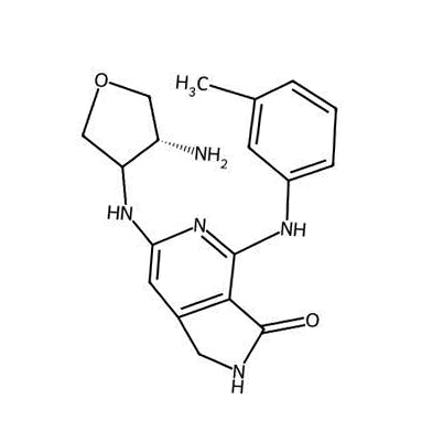 Cc1cccc(Nc2nc(NC3COC[C@@H]3N)cc3c2C(=O)NC3)c1